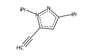 C#Cc1cc(C(C)C)nn1C(C)C